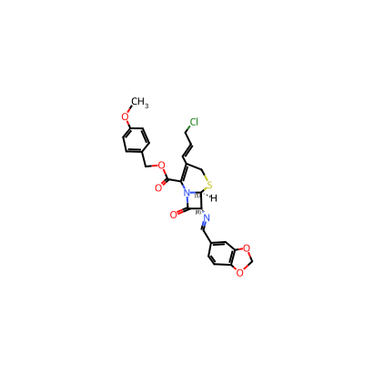 COc1ccc(COC(=O)C2=C(C=CCCl)CS[C@H]3[C@H](N=Cc4ccc5c(c4)OCO5)C(=O)N23)cc1